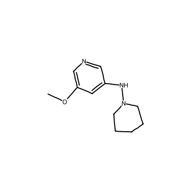 COc1cncc(NN2CCCCC2)c1